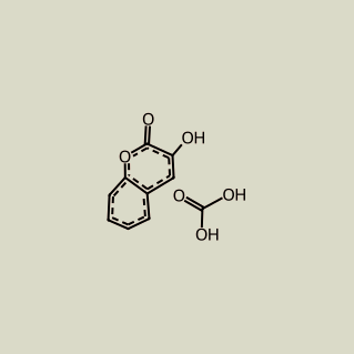 O=C(O)O.O=c1oc2ccccc2cc1O